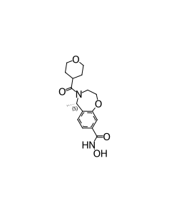 C[C@H]1c2ccc(C(=O)NO)cc2OCCN1C(=O)C1CCOCC1